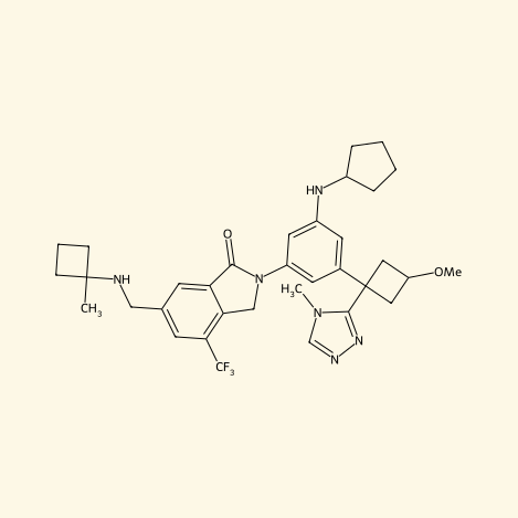 COC1CC(c2cc(NC3CCCC3)cc(N3Cc4c(cc(CNC5(C)CCC5)cc4C(F)(F)F)C3=O)c2)(c2nncn2C)C1